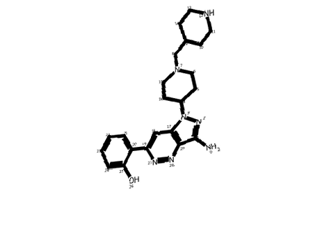 Nc1nn(C2CCN(CC3CCNCC3)CC2)c2cc(-c3ccccc3O)nnc12